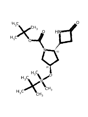 CC(C)(C)OC(=O)N1C[C@H](O[Si](C)(C)C(C)(C)C)C[C@H]1C1CC(=O)N1